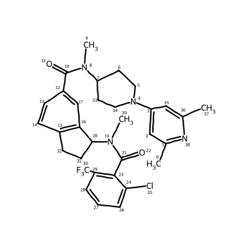 Cc1cc(N2CCC(N(C)C(=O)c3ccc4c(c3)C(N(C)C(=O)c3c(Cl)cccc3C(F)(F)F)CC4)CC2)cc(C)n1